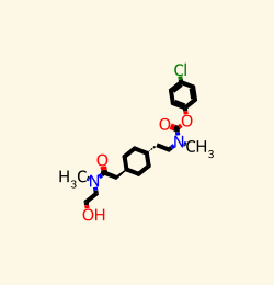 CN(CCO)C(=O)C[C@H]1CC[C@H](CCN(C)C(=O)Oc2ccc(Cl)cc2)CC1